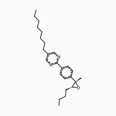 CCCCCCCCc1cnc(-c2ccc([C@]3(C)O[C@H]3CCCC)cc2)nc1